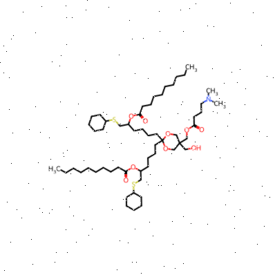 CCCCCCCCCC(=O)OC(CCCCC1(CCCCC(CSC2CCCCC2)OC(=O)CCCCCCCCC)OCC(CO)(COC(=O)CCCN(C)C)CO1)CSC1CCCCC1